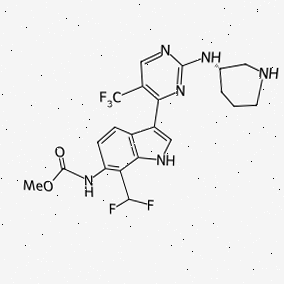 COC(=O)Nc1ccc2c(-c3nc(N[C@H]4CCCNC4)ncc3C(F)(F)F)c[nH]c2c1C(F)F